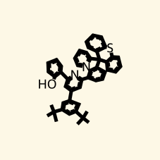 CC(C)(C)c1cc(-c2cc(-c3cccc(C4(c5ccccn5)c5ccccc5Sc5ccccc54)c3)nc(-c3ccccc3O)c2)cc(C(C)(C)C)c1